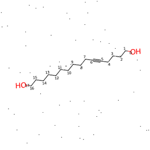 OCCCCC#CCCCCCCCCCCO